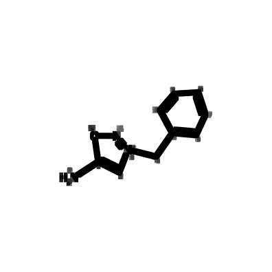 Nc1c[n+](Cc2ccccc2)no1